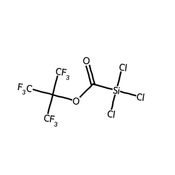 O=C(OC(C(F)(F)F)(C(F)(F)F)C(F)(F)F)[Si](Cl)(Cl)Cl